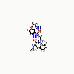 Cc1cccc(-c2sc(C)nc2C(=O)N2CCC2CNC(=O)c2cccc3c2NCCO3)c1